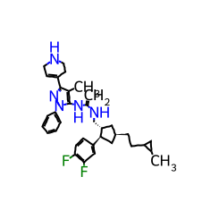 C=C(NC[C@@H]1C[C@@H](CCC2CC2C)C[C@H]1c1ccc(F)c(F)c1)Nc1c(C)c(C2=CCNCC2)nn1-c1ccccc1